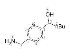 CCCCC(O)c1ccc(CN)cc1